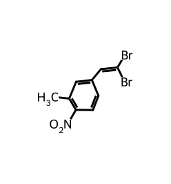 Cc1cc(C=C(Br)Br)ccc1[N+](=O)[O-]